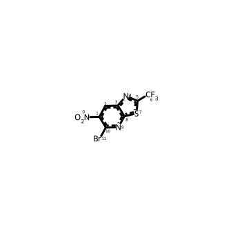 O=[N+]([O-])c1cc2nc(C(F)(F)F)sc2nc1Br